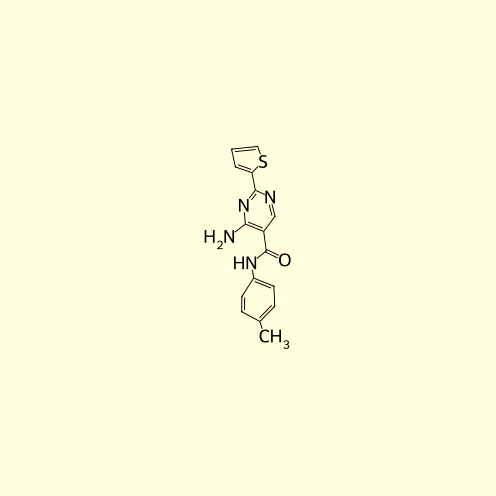 Cc1ccc(NC(=O)c2cnc(-c3cccs3)nc2N)cc1